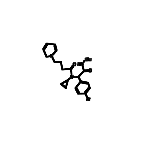 CC(C)(C)NC(=O)C(c1ccc(Br)cc1)N(C(=O)CCCN1C=CC=CC1)C1CC1